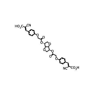 N#C/C(=C\c1ccc(OCC(=O)O[C@H]2COC3C2OC[C@H]3OC(=O)COc2ccc(/C=C(\C#N)C(=O)O)cc2)cc1)C(=O)O